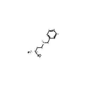 CC(C)[C@H](CCOCc1ccccc1)N=O